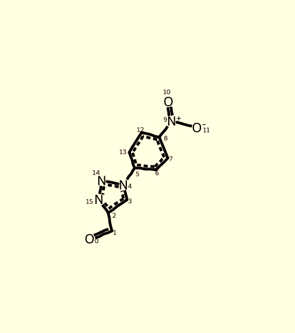 O=Cc1cn(-c2ccc([N+](=O)[O-])cc2)nn1